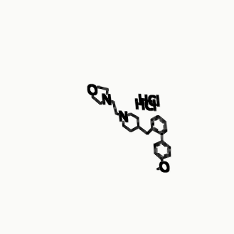 COc1ccc(-c2ccccc2CC2CCN(CCN3CCOCC3)CC2)cc1.Cl.Cl